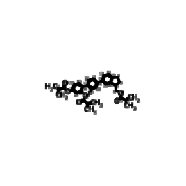 C=C(C)C(=O)OCC1CCc2ccc(-c3ccc(-c4ccc(OC(=O)C(=C)C)cc4OC(=O)C(=C)C)c(F)c3)cc21